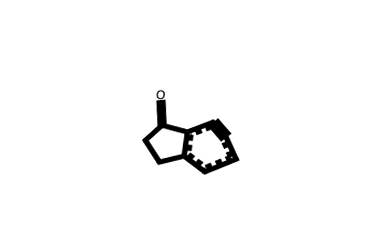 O=C1CCc2ccc#cc21